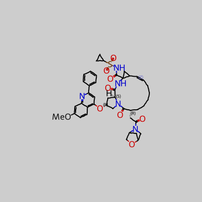 COc1ccc2c(O[C@@H]3C[C@H]4C(=O)NC5(C(=O)NS(=O)(=O)C6CC6)CC5/C=C\CCCCC[C@H](CC(=O)N5CC6CC5CO6)C(=O)N4C3)cc(-c3ccccc3)nc2c1